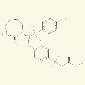 COC(=O)CC(C)(C)c1ccc(CN([C@@H]2CCCCNC2=O)S(=O)(=O)c2ccc(Cl)cc2)cc1